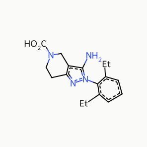 CCc1cccc(CC)c1-n1nc2c(c1N)CN(C(=O)O)CC2